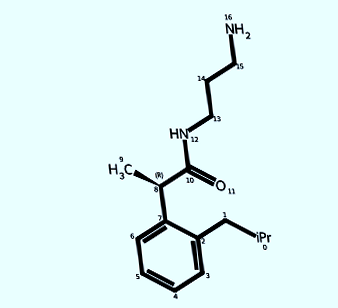 CC(C)Cc1ccccc1[C@@H](C)C(=O)NCCCN